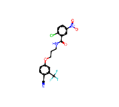 N#Cc1ccc(OCCCNC(=O)c2cc([N+](=O)[O-])ccc2Cl)cc1C(F)(F)F